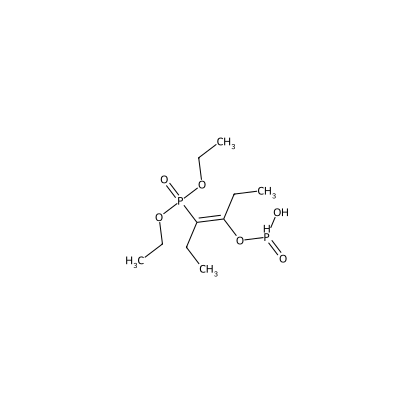 CCOP(=O)(OCC)C(CC)=C(CC)O[PH](=O)O